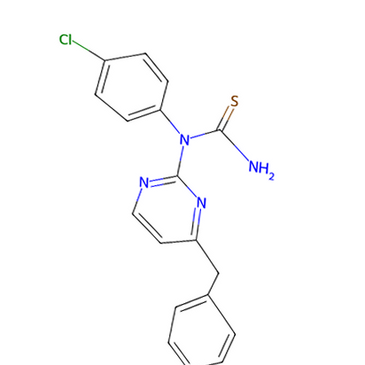 NC(=S)N(c1ccc(Cl)cc1)c1nccc(Cc2ccccc2)n1